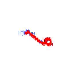 CO[C@@H]1C[C@@H]2CC[C@@H](C)[C@@](O)(O2)C(=O)C(=O)N2CCCC[C@@H]2C(=O)O[C@H]([C@H](C)C[C@H]2CC[C@H](OCCOCc3cn(CCOCCOCCOCCOCCOCCOCCOCCOCCC(=O)NCCCCn4nc(-c5ccc6oc(N)nc6c5)c5c(N)ncnc54)nn3)[C@H](OC)C2)CC(=O)[C@H](C)/C=C(\C)[C@H](O)[C@@H](OC)C(=O)[C@H](C)C[C@H](C)/C=C/C=C/C=C/1C